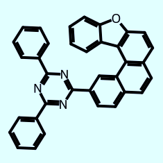 c1ccc(-c2nc(-c3ccccc3)nc(-c3ccc4ccc5ccc6oc7ccccc7c6c5c4c3)n2)cc1